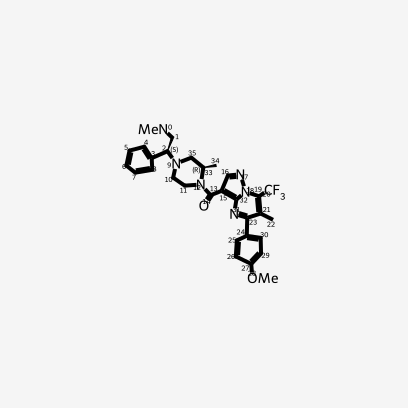 CNC[C@H](c1ccccc1)N1CCN(C(=O)c2cnn3c(C(F)(F)F)c(C)c(-c4ccc(OC)cc4)nc23)[C@H](C)C1